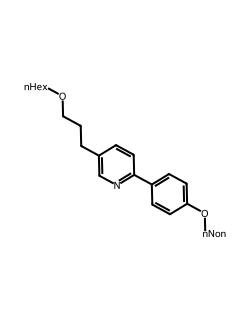 CCCCCCCCCOc1ccc(-c2ccc(CCCOCCCCCC)cn2)cc1